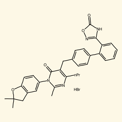 Br.CCCc1nc(C)n(-c2ccc3c(c2)CC(C)(C)O3)c(=O)c1Cc1ccc(-c2ccccc2-c2noc(=O)[nH]2)cc1